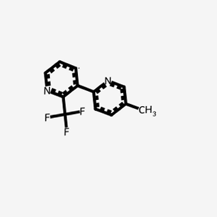 Cc1ccc(-c2[c]ccnc2C(F)(F)F)nc1